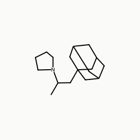 CC(CC12CC3CC(CC(C3)C1)C2)N1CCCC1